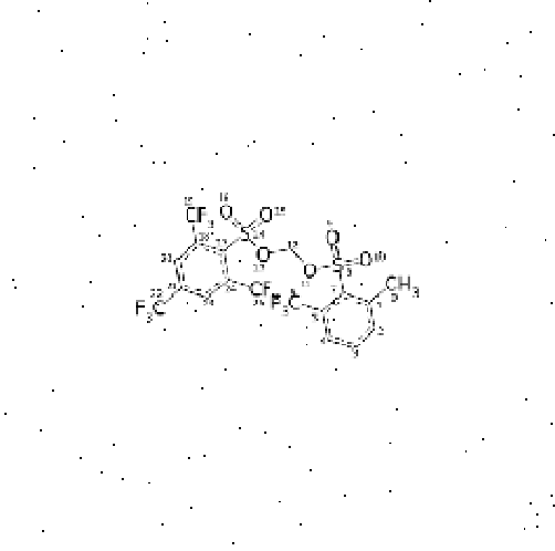 Cc1cccc(C(F)(F)F)c1S(=O)(=O)OCOS(=O)(=O)c1c(C(F)(F)F)cc(C(F)(F)F)cc1C(F)(F)F